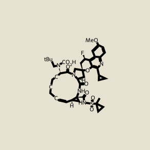 COc1ccc2nc(C3CC3)c3c(c2c1)[C@H](F)C[C@]1(C[C@H]2C(=O)N[C@]4(C(=O)NS(=O)(=O)C5(C)CC5)C[C@H]4/C=C\CCCCC[C@H](N(CC(C)(C)C)C(=O)O)C(=O)N2C1)O3